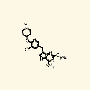 CCCCOc1nc(N)c2ncc(Cc3cnc(OC4CCNCC4)c(Cl)c3)n2n1